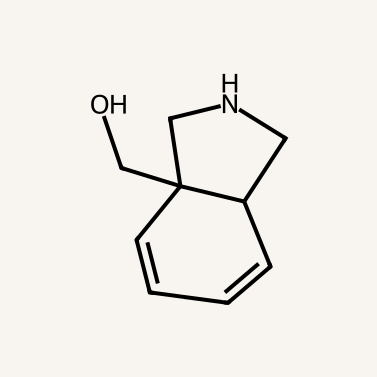 OCC12C=CC=CC1CNC2